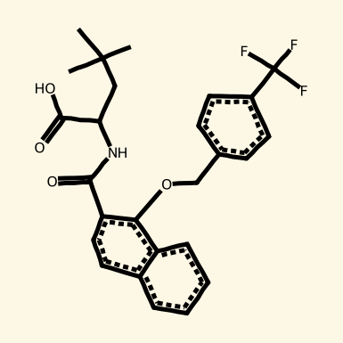 CC(C)(C)CC(NC(=O)c1ccc2ccccc2c1OCc1ccc(C(F)(F)F)cc1)C(=O)O